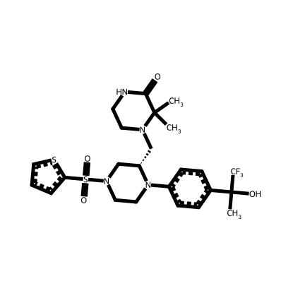 CC1(C)C(=O)NCCN1C[C@H]1CN(S(=O)(=O)c2cccs2)CCN1c1ccc(C(C)(O)C(F)(F)F)cc1